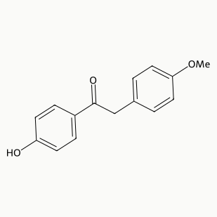 COc1ccc(CC(=O)c2ccc(O)cc2)cc1